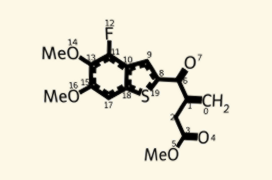 C=C(CC(=O)OC)C(=O)c1cc2c(F)c(OC)c(OC)cc2s1